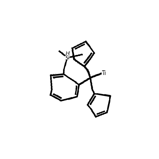 C[SiH](C)c1ccccc1[C]([Ti])(C1=CC=CC1)C1=CC=CC1